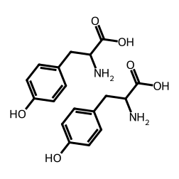 NC(Cc1ccc(O)cc1)C(=O)O.NC(Cc1ccc(O)cc1)C(=O)O